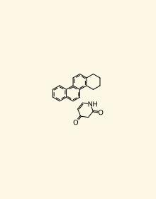 O=C1C=CNC(=O)C1.c1ccc2c(c1)ccc1c3c(ccc12)CCCC3